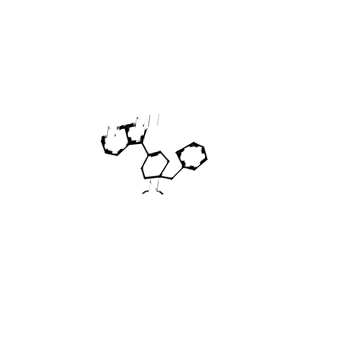 CN(C)C1(Cc2ccccc2)CC=C(c2c[nH]c3ncccc23)CC1